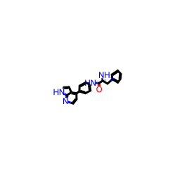 N[C@@H](Cc1ccccc1)C(=O)Nc1ccc(-c2ccnc3[nH]ccc23)cc1